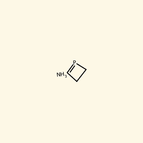 C1=PCC1.N